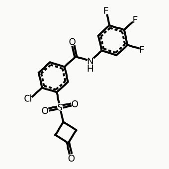 O=C1CC(S(=O)(=O)c2cc(C(=O)Nc3cc(F)c(F)c(F)c3)ccc2Cl)C1